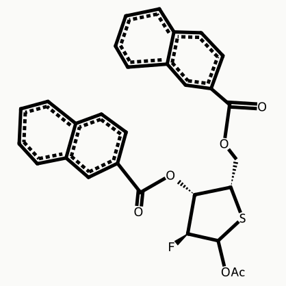 CC(=O)OC1S[C@@H](COC(=O)c2ccc3ccccc3c2)[C@@H](OC(=O)c2ccc3ccccc3c2)[C@@H]1F